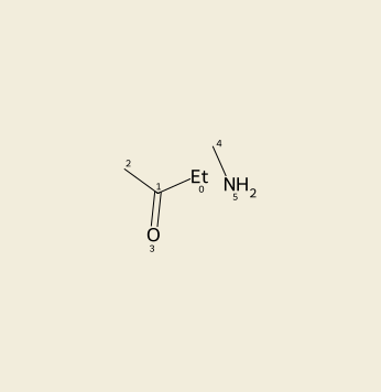 CCC(C)=O.CN